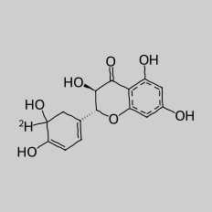 [2H]C1(O)CC([C@H]2Oc3cc(O)cc(O)c3C(=O)[C@@H]2O)=CC=C1O